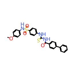 COc1ccc(NS(=O)(=O)c2ccc(NC(=S)NC(=O)c3ccc(-c4ccccc4)cc3)cc2)cc1